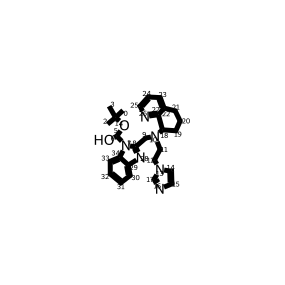 CC(C)(C)OC(O)n1c(CN(CCn2ccnc2)C2CCCc3cccnc32)nc2ccccc21